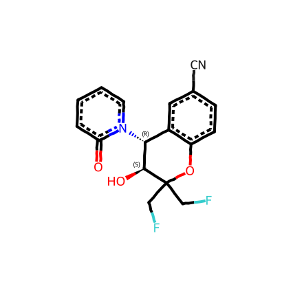 N#Cc1ccc2c(c1)[C@@H](n1ccccc1=O)[C@H](O)C(CF)(CF)O2